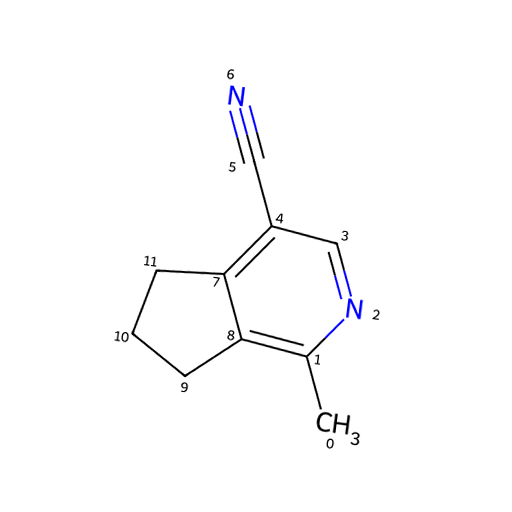 Cc1ncc(C#N)c2c1CCC2